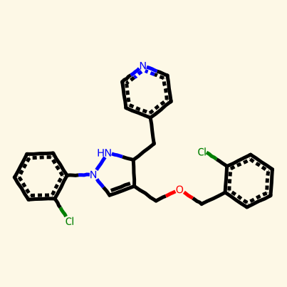 Clc1ccccc1COCC1=CN(c2ccccc2Cl)NC1Cc1ccncc1